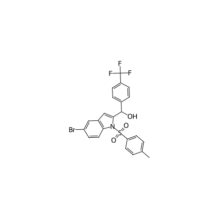 Cc1ccc(S(=O)(=O)n2c(C(O)c3ccc(C(F)(F)F)cc3)cc3cc(Br)ccc32)cc1